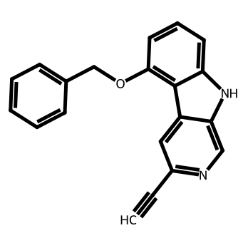 C#Cc1cc2c(cn1)[nH]c1cccc(OCc3ccccc3)c12